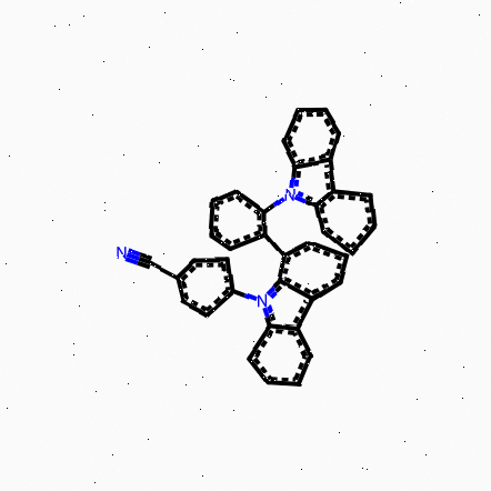 N#Cc1ccc(-n2c3ccccc3c3cccc(-c4ccccc4-n4c5ccccc5c5ccccc54)c32)cc1